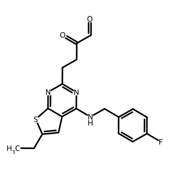 CCc1cc2c(NCc3ccc(F)cc3)nc(CCC(=O)C=O)nc2s1